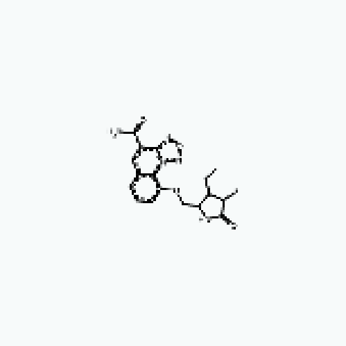 CCC1C(COc2cccc3cc(C(N)=O)c4nnnn4c23)NC(=O)C1F